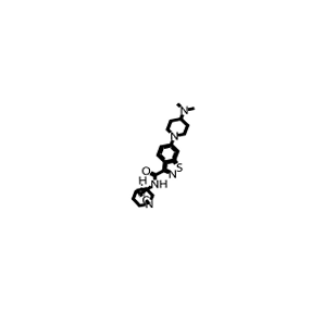 CN(C)C1CCN(c2ccc3c(C(=O)N[C@H]4CN5CCC4CC5)nsc3c2)CC1